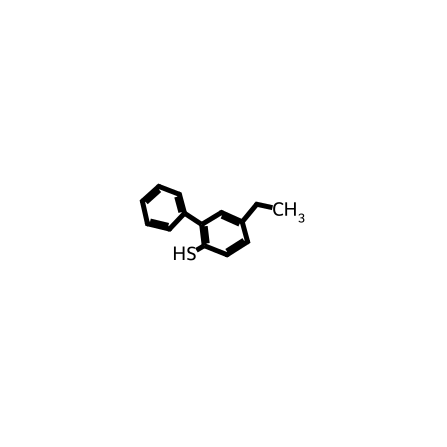 CCc1ccc(S)c(-c2ccccc2)c1